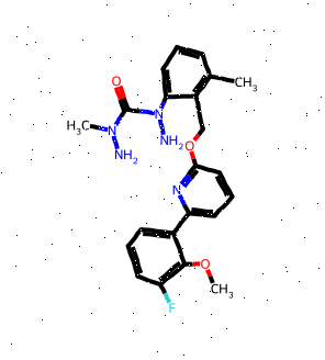 COc1c(F)cccc1-c1cccc(OCc2c(C)cccc2N(N)C(=O)N(C)N)n1